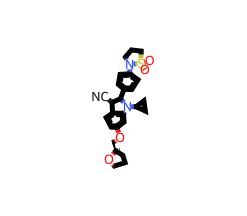 N#CC1c2ccc(OC[C@H]3CCCO3)cc2N(C2CC2)C1c1ccc(N2CCCS2(=O)=O)cc1